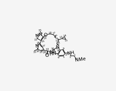 CNCCNc1ccc2c(c1)N1CC(C3CC3)CCCOc3c(cnn3C)-c3cc(cc(C)n3)C(=O)/N=C/1N2